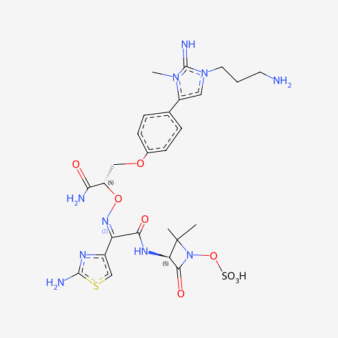 Cn1c(-c2ccc(OC[C@H](O/N=C(\C(=O)N[C@@H]3C(=O)N(OS(=O)(=O)O)C3(C)C)c3csc(N)n3)C(N)=O)cc2)cn(CCCN)c1=N